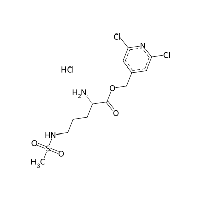 CS(=O)(=O)NCCC[C@H](N)C(=O)OCc1cc(Cl)nc(Cl)c1.Cl